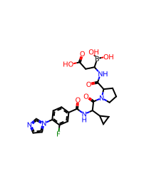 O=C(O)CC(NC(=O)C1CCCN1C(=O)C(NC(=O)c1ccc(-n2ccnc2)c(F)c1)C1CC1)B(O)O